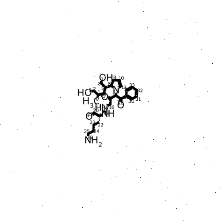 CC(CO)CC(CO)C1CC=CN1C(C(=O)CNN[C@@H](C=O)CCCCN)C(=O)c1ccccc1